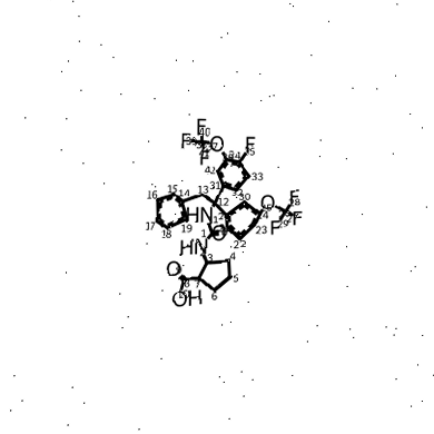 O=C(NC1CCCC1C(=O)O)NC(Cc1ccccc1)(c1cccc(OC(F)(F)F)c1)c1ccc(F)c(OC(F)(F)F)c1